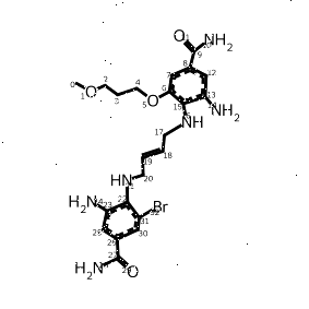 COCCCOc1cc(C(N)=O)cc(N)c1NC/C=C/CNc1c(N)cc(C(N)=O)cc1Br